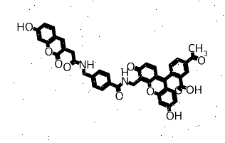 CC(=O)c1ccc(-c2c3ccc(=O)c(CNC(=O)c4ccc(CNC(=O)Cc5cc6ccc(O)cc6oc5=O)cc4)c-3oc3cc(O)ccc23)c(C(=O)O)c1